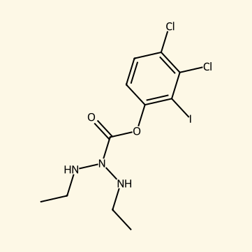 CCNN(NCC)C(=O)Oc1ccc(Cl)c(Cl)c1I